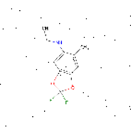 CCNc1cc2c(cc1C)OC(F)(F)O2